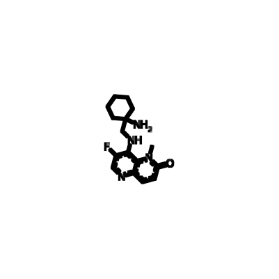 Cn1c(=O)ccc2ncc(F)c(NCC3(N)CCCCC3)c21